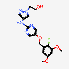 COc1cc(COc2cnc(Nc3cnn(CCO)c3)nc2)c(F)c(OC)c1